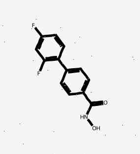 O=C(NO)c1ccc(-c2ccc(F)cc2F)cc1